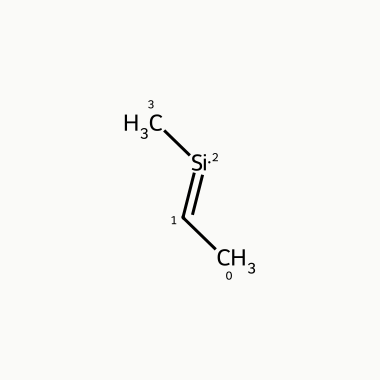 CC=[Si]C